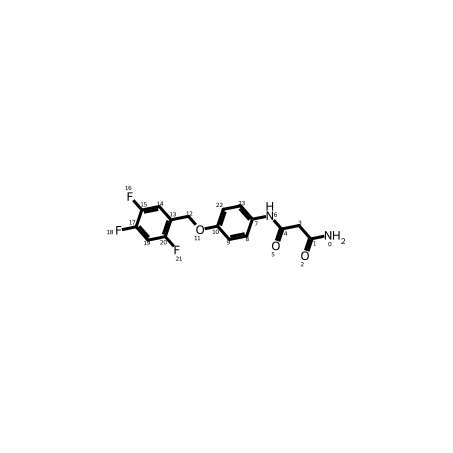 NC(=O)CC(=O)Nc1ccc(OCc2cc(F)c(F)cc2F)cc1